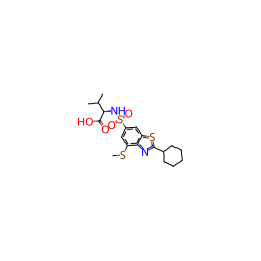 CSc1cc(S(=O)(=O)N[C@@H](C(=O)O)C(C)C)cc2sc(C3CCCCC3)nc12